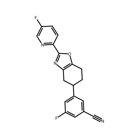 N#Cc1cc(F)cc(C2CCc3oc(-c4ccc(F)cn4)nc3C2)c1